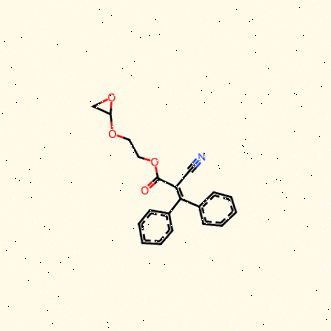 N#CC(C(=O)OCCOC1CO1)=C(c1ccccc1)c1ccccc1